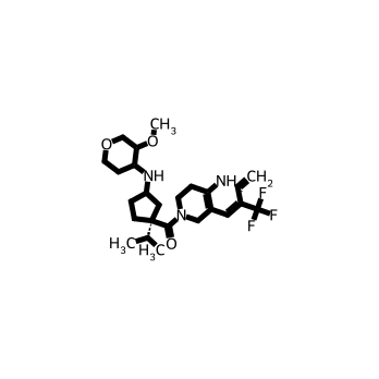 C=C/C(=C\C1=C(N)CCN(C(=O)[C@@]2(C(C)C)CCC(NC3CCOCC3OC)C2)C1)C(F)(F)F